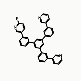 Fc1ccc(-c2cccc(-c3cc(-c4cccc(-c5cccnc5)c4)cc(-c4cccc(-c5cccnc5)c4)c3)c2)cn1